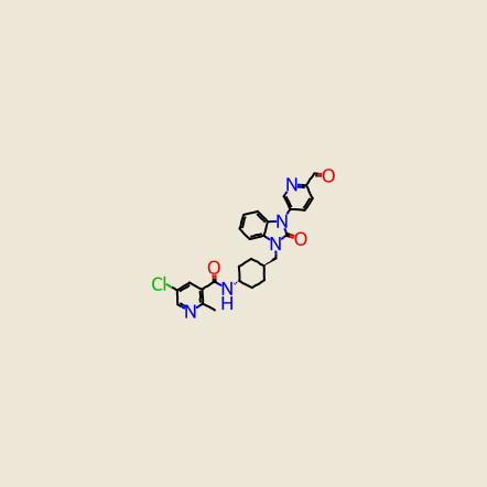 Cc1ncc(Cl)cc1C(=O)N[C@H]1CC[C@H](Cn2c(=O)n(-c3ccc(C=O)nc3)c3ccccc32)CC1